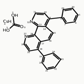 O=C(O)O.[CsH].c1ccc(-c2ccnc3c2ccc2c(-c4ccccc4)ccnc23)cc1